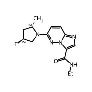 CCNC(=O)c1cnc2ccc(N3C[C@@H](F)C[C@@H]3C)nn12